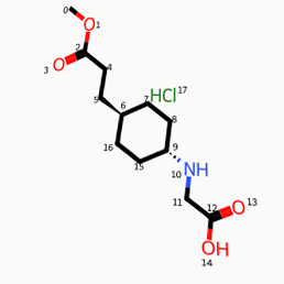 COC(=O)CC[C@H]1CC[C@H](NCC(=O)O)CC1.Cl